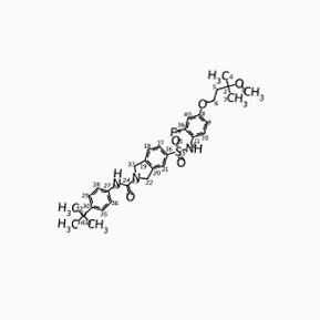 COC(C)(C)CCOc1ccc(NS(=O)(=O)c2ccc3c(c2)CN(C(=O)Nc2ccc(C(C)(C)C)cc2)C3)c(F)c1